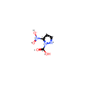 O=C(O)n1nccc1[N+](=O)[O-]